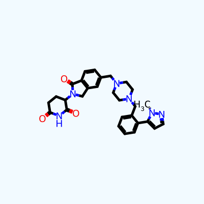 Cn1nccc1-c1ccccc1CN1CCN(Cc2ccc3c(c2)CN(C2CCC(=O)NC2=O)C3=O)CC1